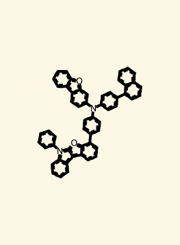 c1ccc(-n2c3ccccc3c3c4cccc(-c5ccc(N(c6ccc(-c7cccc8ccccc78)cc6)c6ccc7c(c6)oc6ccccc67)cc5)c4oc32)cc1